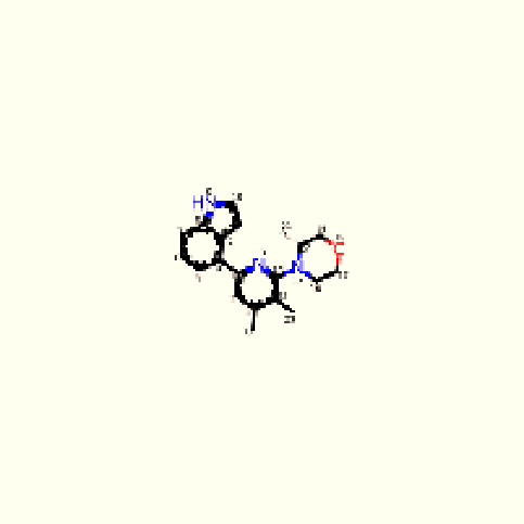 Cc1cc(-c2cccc3[nH]ccc23)nc(N2CCOC[C@H]2C)c1C